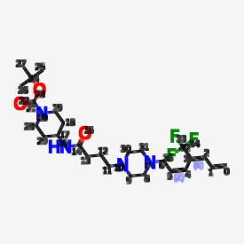 C=C/C=C(\C=C/CN1CCN(CCCC(=O)NC2CCN(C(=O)OC(C)(C)C)CC2)CC1)C(F)(F)F